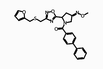 CON=C1CC(c2nc(CSCc3ccco3)no2)N(C(=O)c2ccc(-c3ccccc3)cc2)C1